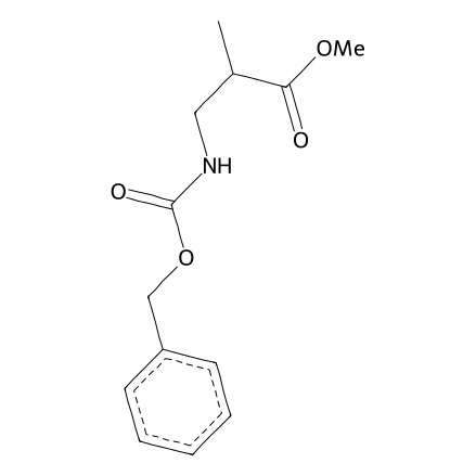 COC(=O)C(C)CNC(=O)OCc1ccccc1